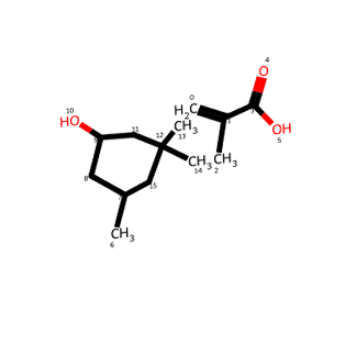 C=C(C)C(=O)O.CC1CC(O)CC(C)(C)C1